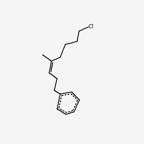 CC(=CCCc1ccccc1)CCCCCl